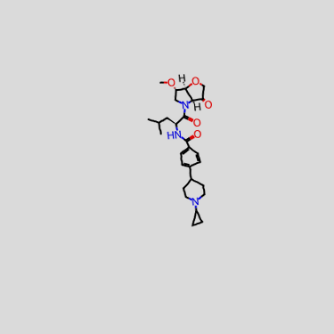 CO[C@H]1CN(C(=O)[C@H](CC(C)C)NC(=O)c2ccc(C3CCN(C4CC4)CC3)cc2)[C@@H]2C(=O)CO[C@H]12